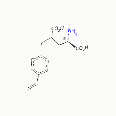 C=Cc1ccc(CC(C[C@@H](N)C(=O)O)C(=O)O)cc1